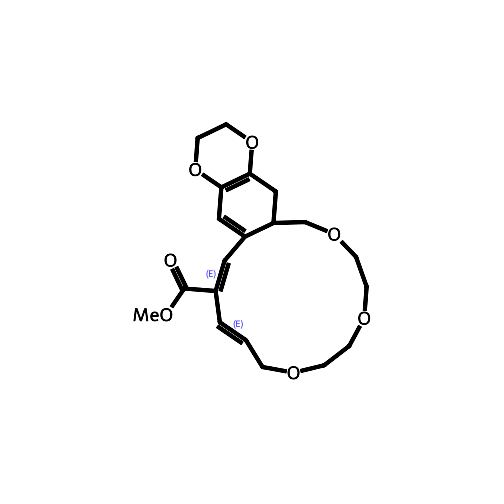 COC(=O)C1=C/C2=CC3=C(CC2COCCOCCOC\C=C\1)OCCO3